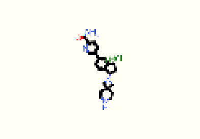 Cl.Cl.NC(=O)c1ccc(-c2ccc3c(c2)CC[C@H]3N2CC3(CCNCC3)C2)cn1